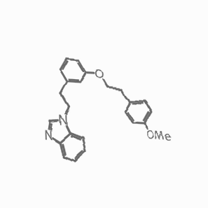 COc1ccc(CCOc2cccc(CCn3cnc4ccccc43)c2)cc1